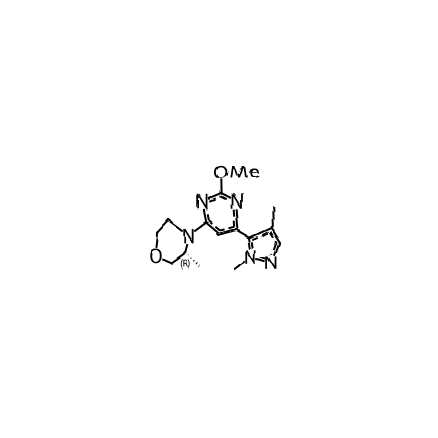 COc1nc(-c2c(C)cnn2C)cc(N2CCOC[C@H]2C)n1